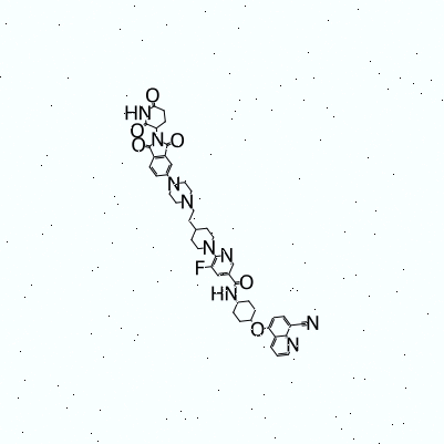 N#Cc1ccc(OC2CCC(NC(=O)c3cnc(N4CCC(CCN5CCN(c6ccc7c(c6)C(=O)N(C6CCC(=O)NC6=O)C7=O)CC5)CC4)c(F)c3)CC2)c2cccnc12